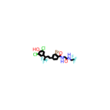 O=C(CNC(=O)c1ccc(C=CC(c2cc(Cl)c(O)c(Cl)c2)C(F)(F)F)cc1Br)NCC(F)(F)F